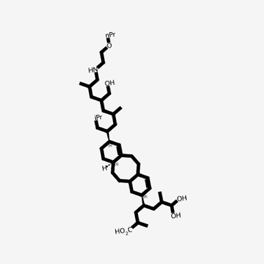 CCCOCCNCC(C)CC(CO)CC(C)CC(CC(C)C)[C@H]1C=C2CCC3C=C[C@@H](C(CC(C)C(=O)O)CC(C)C(O)O)CC3CC[C@H]2CC1